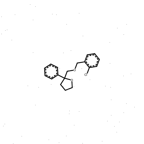 Clc1ccccc1COCC1(c2ccccc2)CCCO1